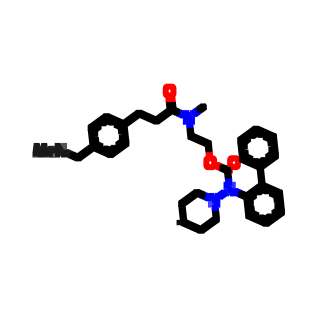 CNCc1ccc(CCC(=O)N(C)CCOC(=O)N(c2ccccc2-c2ccccc2)N2CC[CH]CC2)cc1